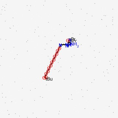 CCCN(CCC)C(=O)C1=Cc2c(cnn2CCCCCN(C)CCOCCOCCOCCOCCOCCOCCOCCOCCOCCOCCC(=O)OC(C)(C)C)N=C(N)C1